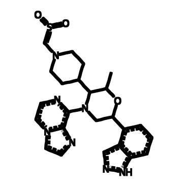 CC1OC(c2cccc3[nH]ncc23)CN(c2nccn3ccnc23)C1C1CCN(C=S(=O)=O)CC1